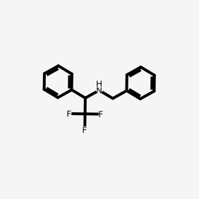 FC(F)(F)C(NCc1ccccc1)c1ccccc1